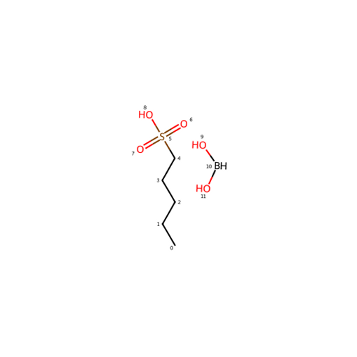 CCCCCS(=O)(=O)O.OBO